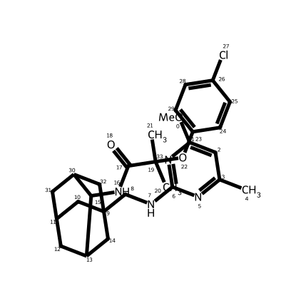 COc1cc(C)nc(NCC23CC4CC(C2)C(NC(=O)C(C)(C)Oc2ccc(Cl)cc2)C(C4)C3)n1